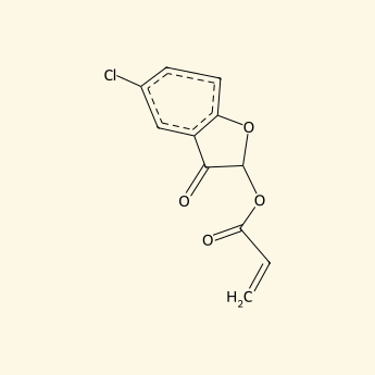 C=CC(=O)OC1Oc2ccc(Cl)cc2C1=O